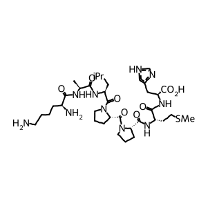 CSCC[C@H](NC(=O)[C@@H]1CCCN1C(=O)[C@@H]1CCCN1C(=O)[C@H](CC(C)C)NC(=O)[C@H](C)NC(=O)[C@@H](N)CCCCN)C(=O)N[C@@H](Cc1c[nH]cn1)C(=O)O